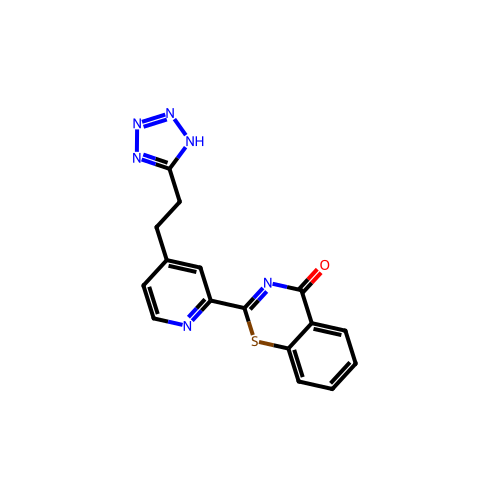 O=c1nc(-c2cc(CCc3nnn[nH]3)ccn2)sc2ccccc12